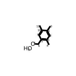 Cc1cc(C)c(COO)cc1C